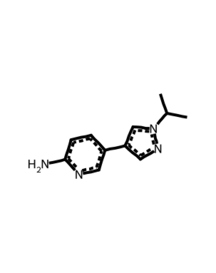 CC(C)n1cc(-c2ccc(N)nc2)cn1